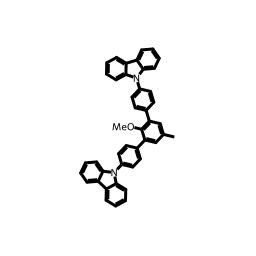 COc1c(-c2ccc(-n3c4ccccc4c4ccccc43)cc2)cc(C)cc1-c1ccc(-n2c3ccccc3c3ccccc32)cc1